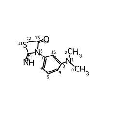 CN(C)c1cccc(N2C(=N)SCC2=O)c1